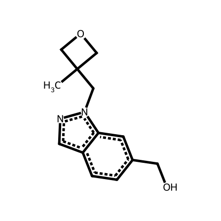 CC1(Cn2ncc3ccc(CO)cc32)COC1